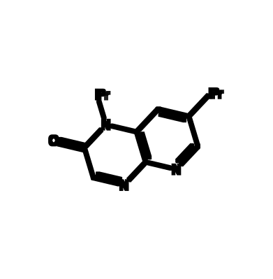 CC(C)c1cnc2ncc(=O)n(C(C)C)c2c1